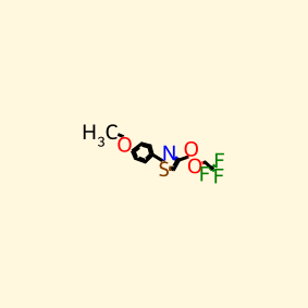 CCOc1ccc(-c2nc(C(=O)OCC(F)(F)F)cs2)cc1